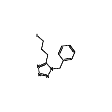 ICCCc1nnnn1Cc1ccccc1